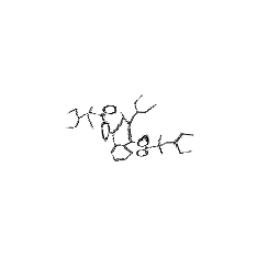 CCC(CC)c1c(C)c(OC(=O)C(C)(C)C(CC)CC)c2ccccc2c1OC(=O)C(C)(C)C(CC)CC